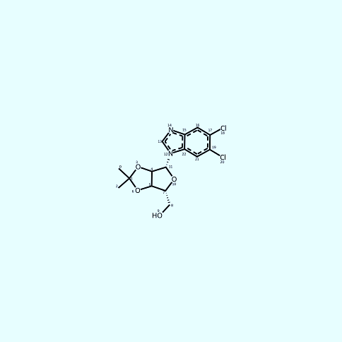 CC1(C)OC2C(O1)[C@@H](CO)O[C@H]2n1cnc2cc(Cl)c(Cl)cc21